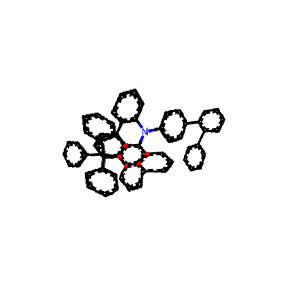 c1ccc(-c2ccccc2-c2ccc(N(c3ccccc3-c3cccc(-c4cccc5ccccc45)c3)c3cccc4c3-c3ccccc3C4(c3ccccc3)c3ccccc3)cc2)cc1